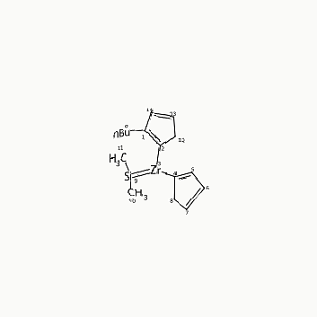 CCCCC1=[C]([Zr]([C]2=CC=CC2)=[Si](C)C)CC=C1